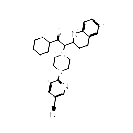 N#Cc1ccc(N2CCN(C(C(=O)C3CCCCC3)C3CCc4ccccc4N3)CC2)nc1